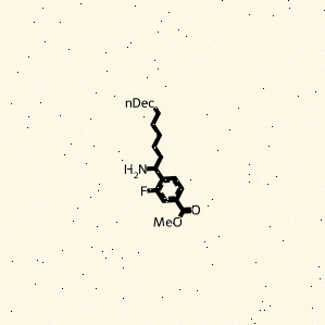 CCCCCCCCCCCCCCCC(N)c1ccc(C(=O)OC)cc1F